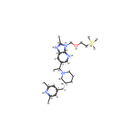 Cc1cc(C[C@H]2CCCN(C(C)c3cnc4c(c3)nc(C)n4COCCS(C)(C)C)C2)cc(C)n1